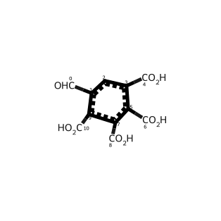 O=Cc1cc(C(=O)O)c(C(=O)O)c(C(=O)O)c1C(=O)O